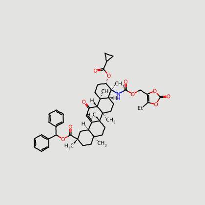 CCc1oc(=O)oc1COC(=O)N[C@]1(C)[C@@H](OC(=O)C2CC2)CC[C@@]2(C)[C@H]1CC[C@]1(C)[C@@H]2C(=O)C=C2[C@@H]3C[C@@](C)(C(=O)OC(c4ccccc4)c4ccccc4)CC[C@]3(C)CC[C@]21C